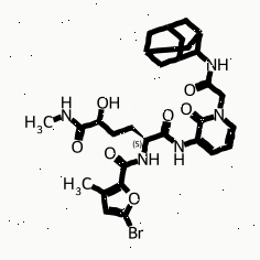 CNC(=O)C(O)CC[C@H](NC(=O)c1oc(Br)cc1C)C(=O)Nc1cccn(CC(=O)NC2C3CC4CC(C3)CC2C4)c1=O